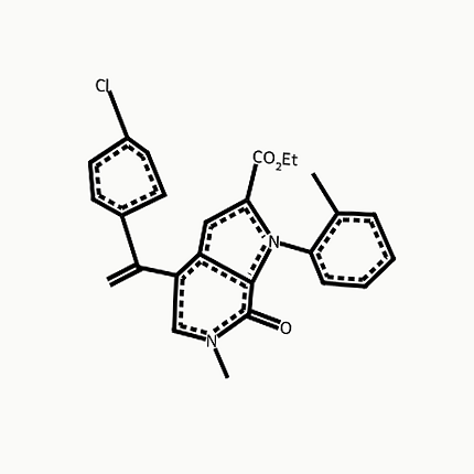 C=C(c1ccc(Cl)cc1)c1cn(C)c(=O)c2c1cc(C(=O)OCC)n2-c1ccccc1C